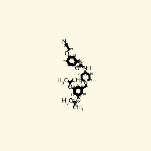 CC(C)Oc1cc(CN2CCC(Nc3nc4cc(OCC#N)ccc4o3)CC2)cc(OC(C)C)c1